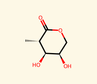 C[C@@H]1C(=O)OC[C@@H](O)[C@H]1O